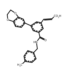 Cc1ccc(CNC(=O)c2cc(/C=C/C(=O)O)cc(-c3ccc4c(c3)OCCO4)c2)cc1